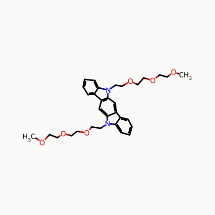 COCCOCCOCCn1c2ccccc2c2cc3c(cc21)c1ccccc1n3CCOCCOCCOC